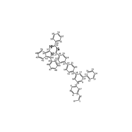 C/C=C\c1cccc(-c2cc(-c3ccccc3)cc(-c3ccc(-c4ccc(-c5nc(-c6ccccc6)nc6c7ccccc7c(-c7ccccc7)n56)cc4)cc3)c2)c1